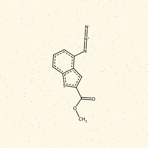 COC(=O)c1cc2c(N=[N+]=[N-])cccc2s1